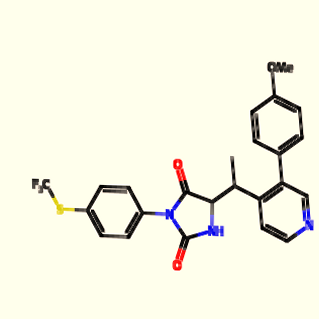 COc1ccc(-c2cnccc2C(C)C2NC(=O)N(c3ccc(SC(F)(F)F)cc3)C2=O)cc1